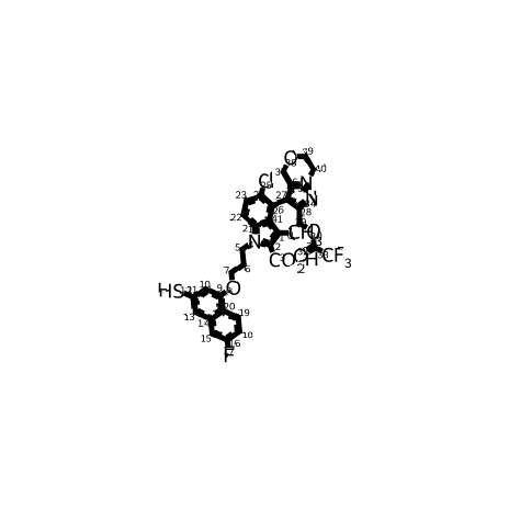 Cc1c(C(=O)O)n(CCCOc2cc(S)cc3cc(F)ccc23)c2ccc(Cl)c(-c3c(COC(=O)C(F)(F)F)nn4c3COCC4)c12